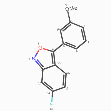 COc1cccc(-c2onc3cc(F)ccc23)c1